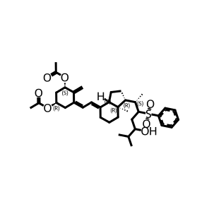 C=C1C(=CC=C2CCC[C@]3(C)[C@@H]([C@H](C)C(CC(O)C(C)C)S(=O)(=O)c4ccccc4)CC[C@@H]23)C[C@@H](OC(C)=O)C[C@@H]1OC(C)=O